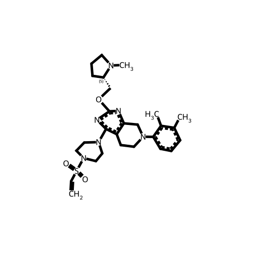 C=CS(=O)(=O)N1CCN(c2nc(OC[C@@H]3CCCN3C)nc3c2CCN(c2cccc(C)c2C)C3)CC1